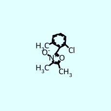 Cc1cccc(Cl)c1-c1oc(C)c(C)[n+]1[O-]